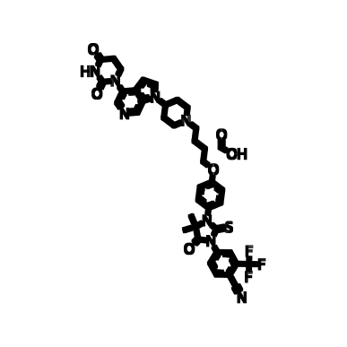 CC1(C)C(=O)N(c2ccc(C#N)c(C(F)(F)F)c2)C(=S)N1c1ccc(OCCCCN2CCC(n3ccc4c(N5CCC(=O)NC5=O)cncc43)CC2)cc1.O=CO